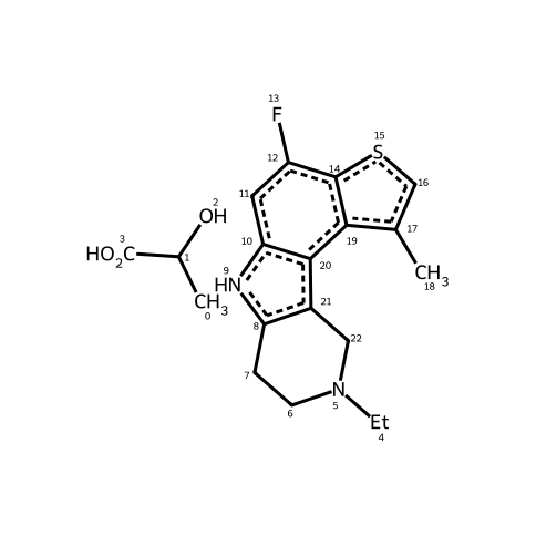 CC(O)C(=O)O.CCN1CCc2[nH]c3cc(F)c4scc(C)c4c3c2C1